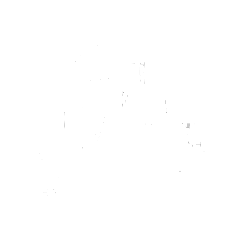 Cl.NNC(=O)CC1=Nc2ccccc2[N+]1=Cc1cccc(C(=O)C(O)Cl)c1